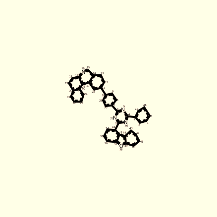 c1ccc(-c2nc(-c3ccc(-c4ccc5cnc6ccc7ccccc7c6c5c4)cc3)nc(-c3cccc4oc5ccccc5c34)n2)cc1